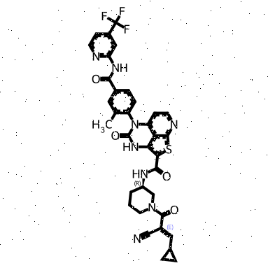 Cc1cc(C(=O)Nc2cc(C(F)(F)F)ccn2)ccc1N1C(=O)Nc2c(C(=O)N[C@@H]3CCCN(C(=O)/C(C#N)=C/C4CC4)C3)sc3nccc1c23